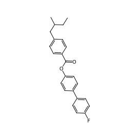 CCC(C)Cc1ccc(C(=O)Oc2ccc(-c3ccc(F)cc3)cc2)cc1